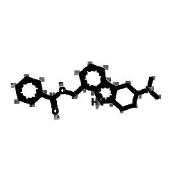 CN(C)C1CCc2[nH]c3c(COC(=O)c4ccccc4)cccc3c2C1